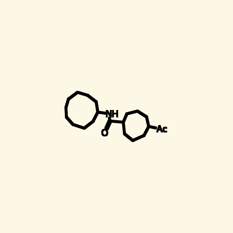 CC(=O)C1CCCC(C(=O)NC2CCCCCCCCC2)CCC1